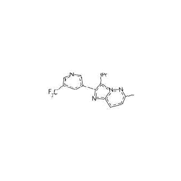 Cc1ccc2nc(-c3cncc(C(F)(F)F)c3)c(C(C)C)n2n1